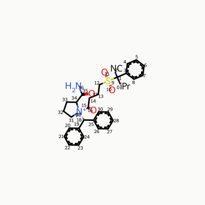 CC(C)C(C#N)(c1ccccc1)S(=O)(=O)CCCC(=O)[N@@+]1(C(c2ccccc2)c2ccccc2)CCCC1C(N)=O